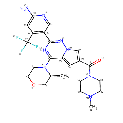 C[C@H]1COCCN1c1nc(-c2cnc(N)cc2C(F)(F)F)nn2cc(C(=O)N3CCN(C)CC3)cc12